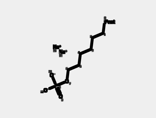 CCCC(C)CCCCCCOP(=O)([O-])[O-].[Na+].[Na+]